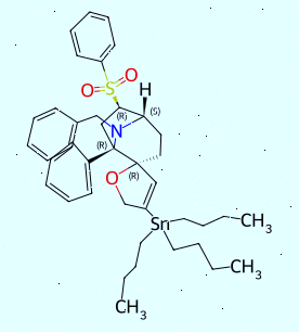 CCC[CH2][Sn]([CH2]CCC)([CH2]CCC)[C]1=C[C@@]2(CC[C@H]3[C@H](S(=O)(=O)c4ccccc4)C[C@]2(c2ccccc2)N3Cc2ccccc2)OC1